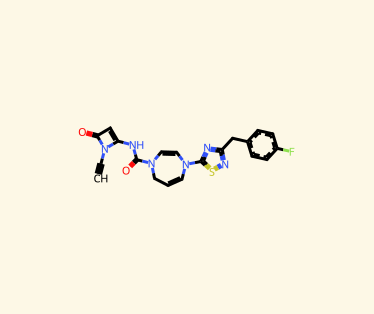 C#CN1C(=O)C=C1NC(=O)N1C=CN(c2nc(Cc3ccc(F)cc3)ns2)C=CC1